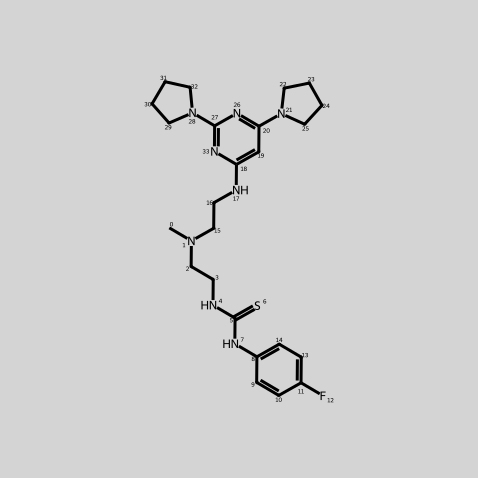 CN(CCNC(=S)Nc1ccc(F)cc1)CCNc1cc(N2CCCC2)nc(N2CCCC2)n1